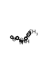 CN1CCN(c2ccc(Nc3ncc(-c4cccc(OC5CCCC5)c4)o3)cc2)CC1